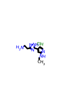 CCNc1cc(-c2nc(CCN)n[nH]2)ccn1.Cl